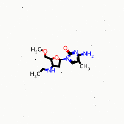 CCNC1C[C@H](n2cc(C)c(N)nc2=O)OC1COC